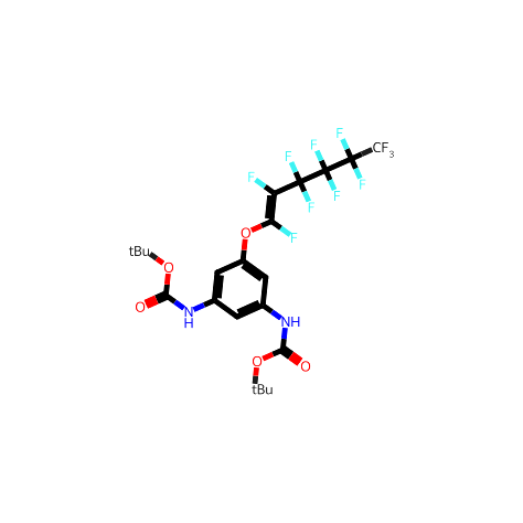 CC(C)(C)OC(=O)Nc1cc(NC(=O)OC(C)(C)C)cc(OC(F)=C(F)C(F)(F)C(F)(F)C(F)(F)C(F)(F)F)c1